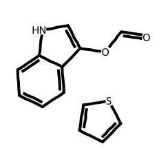 O=COc1c[nH]c2ccccc12.c1ccsc1